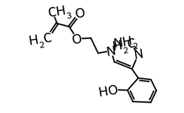 C=N/C(=C\N(N)CCOC(=O)C(=C)C)c1ccccc1O